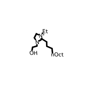 CCCCCCCCCCCC1=[N+](CC)CCN1CCO